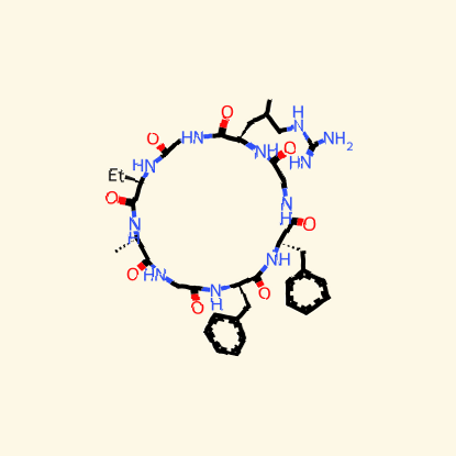 CC[C@H]1NC(=O)CNC(=O)[C@@H](CC(C)CNC(=N)N)NC(=O)CNC(=O)[C@H](Cc2ccccc2)NC(=O)[C@@H](Cc2ccccc2)NC(=O)CNC(=O)[C@H](C)NC1=O